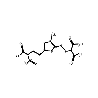 CC1CC(CCC(C(=O)O)C(=O)O)CC1CCC(C(=O)O)C(=O)O